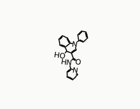 O=C(Nc1ccccn1)C1=CN(c2ccccc2)c2ccccc2C1O